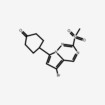 CS(=O)(=O)c1ncc2c(Br)cc(C3CCC(=O)CC3)n2n1